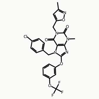 Cc1cc(Cn2c(=O)c3c(nc(Oc4cccc(OC(F)(F)F)c4)n3Cc3ccc(Cl)cc3)n(C)c2=O)on1